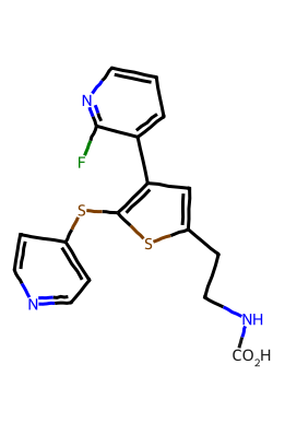 O=C(O)NCCc1cc(-c2cccnc2F)c(Sc2ccncc2)s1